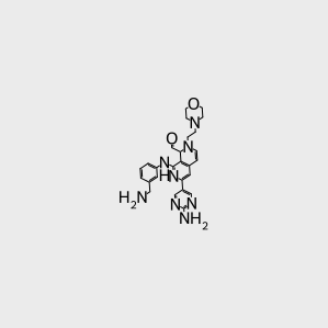 NCc1cccc(Nc2nc(-c3cnc(N)nc3)cc3c2C(C=O)N(CCN2CCOCC2)C=C3)c1